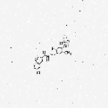 Cc1cc(CCNC(=O)C2COc3ccc(Cl)cc3C2)c(F)cc1NS(C)(=O)=O